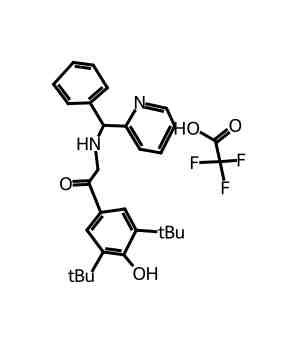 CC(C)(C)c1cc(C(=O)CNC(c2ccccc2)c2ccccn2)cc(C(C)(C)C)c1O.O=C(O)C(F)(F)F